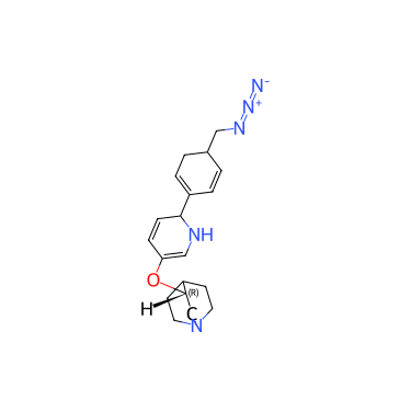 [N-]=[N+]=NCC1C=CC(C2C=CC(O[C@H]3CN4CCC3CC4)=CN2)=CC1